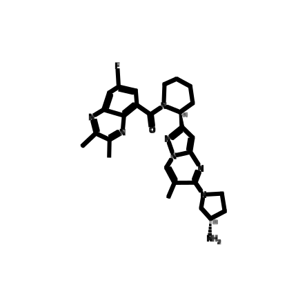 Cc1cn2nc([C@@H]3CCCCN3C(=O)c3cc(F)cc4nc(C)c(C)nc34)cc2nc1N1CC[C@H](N)C1